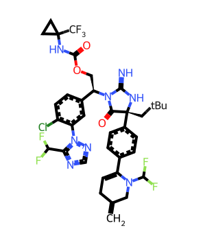 C=C1CC=C(c2ccc([C@@]3(CC(C)(C)C)NC(=N)N([C@H](COC(=O)NC4(C(F)(F)F)CC4)c4ccc(Cl)c(-n5ncnc5C(F)F)c4)C3=O)cc2)N(C(F)F)C1